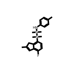 CC1=Cc2c(F)ccc([Si](C)(C)[Si](C)(C)Nc3ccc(C)cc3)c2C1